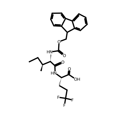 CC[C@H](C)[C@H](NC(=O)OCC1c2ccccc2-c2ccccc21)C(=O)N[C@@H](CCC(F)(F)F)C(=O)O